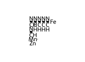 C#N.C#N.C#N.C#N.C#N.C#N.[Fe].[Mn].[Zn]